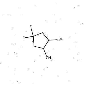 CCCC1CC(F)(F)CC1C